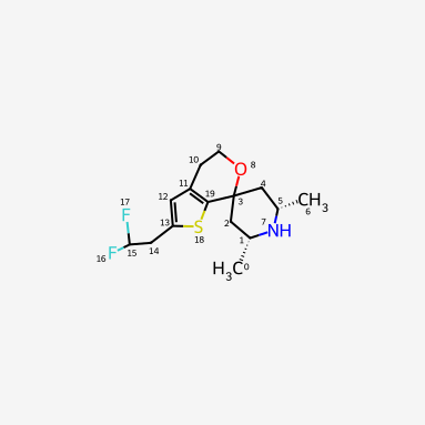 C[C@@H]1CC2(C[C@H](C)N1)OCCc1cc(CC(F)F)sc12